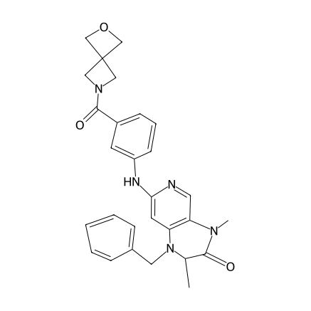 CC1C(=O)N(C)c2cnc(Nc3cccc(C(=O)N4CC5(COC5)C4)c3)cc2N1Cc1ccccc1